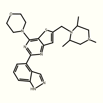 CC1CN(C)CC(C)N1Cc1cc2nc(-c3cccc4[nH]ncc34)nc(N3CCOCC3)c2s1